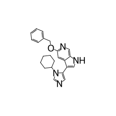 c1ccc(COc2cc3c(-c4cncn4C4CCCCC4)c[nH]c3cn2)cc1